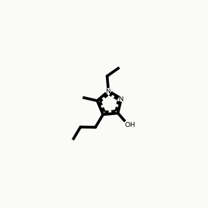 CCCc1c(O)nn(CC)c1C